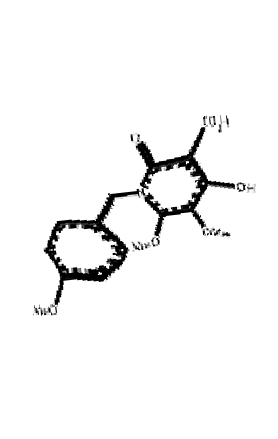 COc1ccc(Cn2c(OC)c(OC)c(O)c(C(=O)O)c2=O)cc1